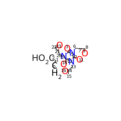 C=CC(=O)O.O=c1n(CC2CO2)c(=O)n(CC2CO2)c(=O)n1CC1CO1